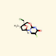 C[C@H]1C[C@H]2O[C@]1(CCl)COc1nc(=O)c(F)cn12